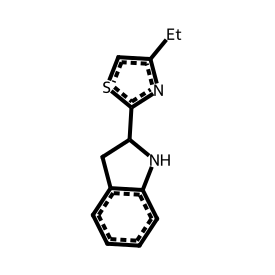 CCc1csc(C2Cc3ccccc3N2)n1